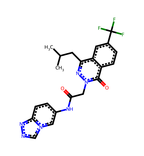 CC(C)Cc1nn(CC(=O)Nc2ccc3nncn3c2)c(=O)c2ccc(C(F)(F)F)cc12